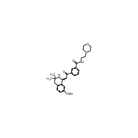 COc1ccc2c(c1)/C(=C/C(=O)c1cccc(C(=O)NCCN3CCOCC3)c1)NC(C)(C)C2